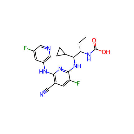 CC[C@H](NC(=O)O)[C@@H](Nc1nc(Nc2cncc(F)c2)c(C#N)cc1F)C1CC1